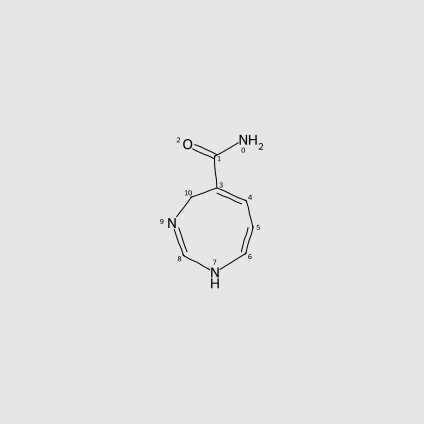 NC(=O)C1=CC=CNC=NC1